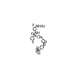 CC(=O)Nc1cc(NC(=O)N(c2cccc(F)c2)C2CCN(Cc3ccc(Oc4ccc(NS(C)(=O)=O)cc4)nc3)CC2)ccc1F